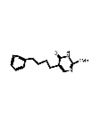 CSc1ncc(CCCCc2ccccc2)c(=O)[nH]1